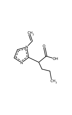 C=Cn1ccnc1C(CCC)C(=O)O